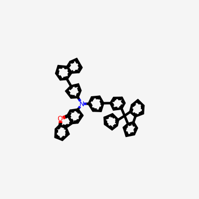 c1ccc(C2(c3cccc(-c4ccc(N(c5ccc(-c6cccc7ccccc67)cc5)c5ccc6c(c5)oc5ccccc56)cc4)c3)c3ccccc3-c3ccccc32)cc1